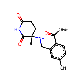 COC(=O)c1ccc(C#N)cc1CN[C@@]1(C)CCC(=O)NC1=O